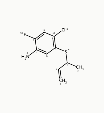 C=CC(C)Sc1cc(N)c(F)cc1Cl